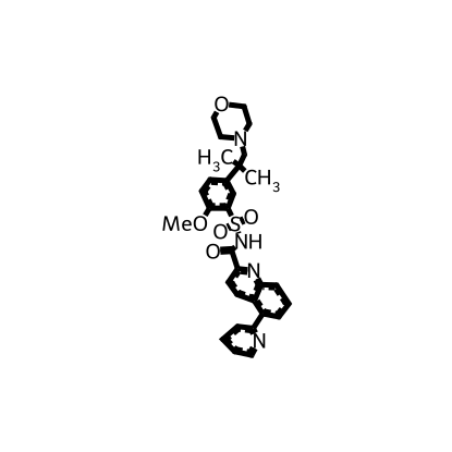 COc1ccc(C(C)(C)CN2CCOCC2)cc1S(=O)(=O)NC(=O)c1ccc2c(-c3ccccn3)cccc2n1